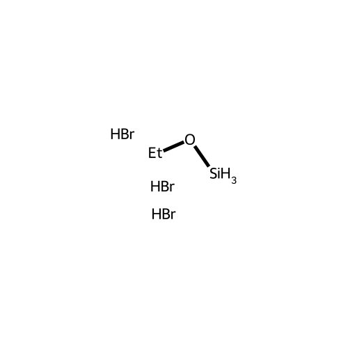 Br.Br.Br.CCO[SiH3]